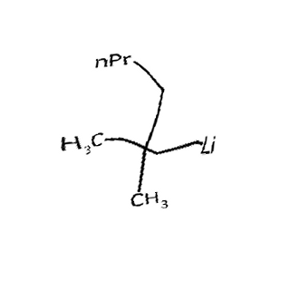 [Li][C](C)(C)CCCC